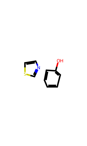 Oc1ccccc1.c1cscn1